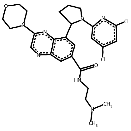 CN(C)CCNC(=O)c1cc(C2CCCN2c2cc(Cl)cc(Cl)n2)c2nc(N3CCOCC3)cnc2c1